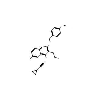 CCCc1c(OCc2ccc(OC)cc2)nc2ccc(Cl)cc2c1OC#CC1CC1